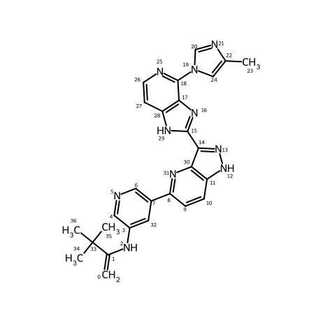 C=C(Nc1cncc(-c2ccc3[nH]nc(-c4nc5c(-n6cnc(C)c6)nccc5[nH]4)c3n2)c1)C(C)(C)C